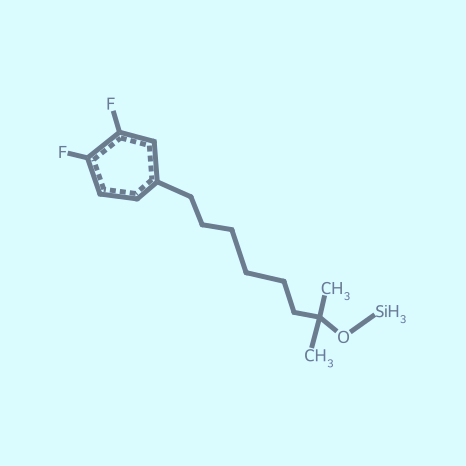 CC(C)(CCCCCCc1ccc(F)c(F)c1)O[SiH3]